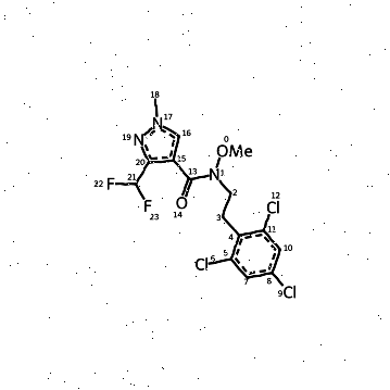 CON(CCc1c(Cl)cc(Cl)cc1Cl)C(=O)c1cn(C)nc1C(F)F